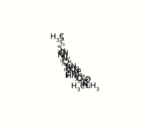 CCCCCc1cnc(N2CCC(n3cc(F)c4c(Nc5ccc(C(=O)N(C)C)cc5F)ncnc43)CC2)nc1